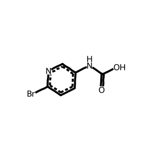 O=C(O)Nc1ccc(Br)nc1